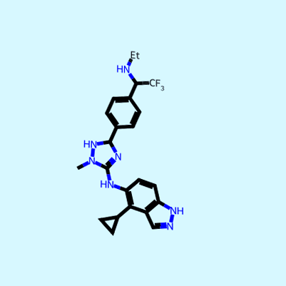 CCNC(c1ccc(C2N=C(Nc3ccc4[nH]ncc4c3C3CC3)N(C)N2)cc1)C(F)(F)F